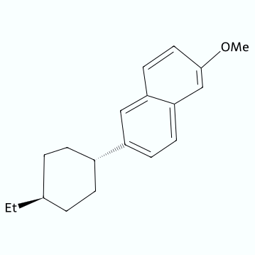 CC[C@H]1CC[C@H](c2ccc3cc(OC)ccc3c2)CC1